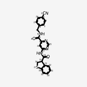 N#Cc1ccc(CNC(=O)c2cc(NC(=O)C3CSc4ccccc43)ncn2)cc1